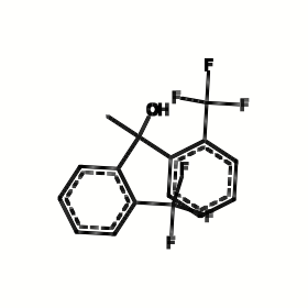 CC(O)(c1ccccc1C(F)(F)F)c1ccccc1C(F)(F)F